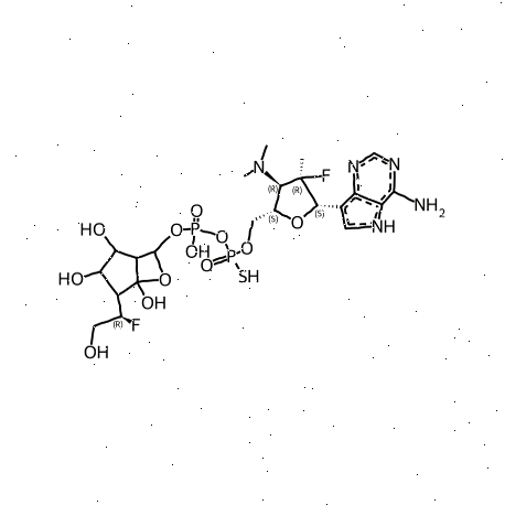 CN(C)[C@@H]1[C@@H](COP(=O)(S)OP(=O)(O)OC2OC3(O)C2C(O)C(O)C3[C@@H](F)CO)O[C@@H](c2c[nH]c3c(N)ncnc23)[C@]1(C)F